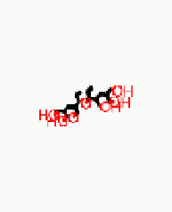 C=CC(OC(C=C)C(=CC(CO)CO)CO)C(=CC(CO)CO)CO